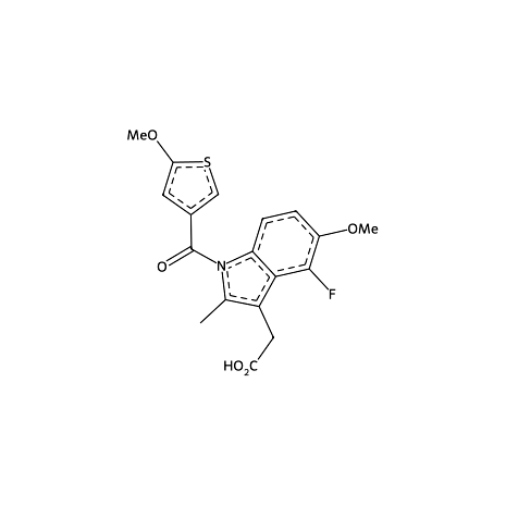 COc1cc(C(=O)n2c(C)c(CC(=O)O)c3c(F)c(OC)ccc32)cs1